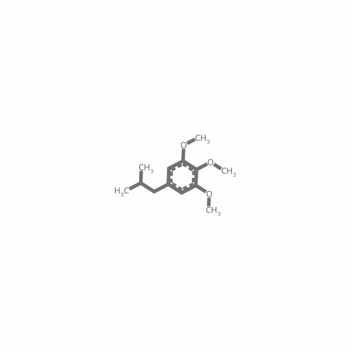 COc1cc(CC(C)C)cc(OC)c1OC